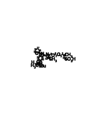 C[C@H](CCOCCOCc1nc(-c2nn(C3CCCCO3)c3ccc(O[Si](C)(C)C(C)(C)C)cc23)cn1C)CS(=O)(=O)O